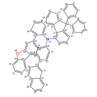 c1ccc(C2(c3ccccc3)c3ccccc3-c3c(N(c4ccc(-c5ccc6ccccc6c5)cc4)c4ccccc4-c4ccc5c(c4)oc4ccccc45)cccc32)cc1